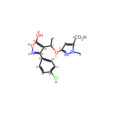 CC(Oc1cc(C(=O)O)n(C)n1)c1c(-c2ccc(Cl)cc2)noc1O